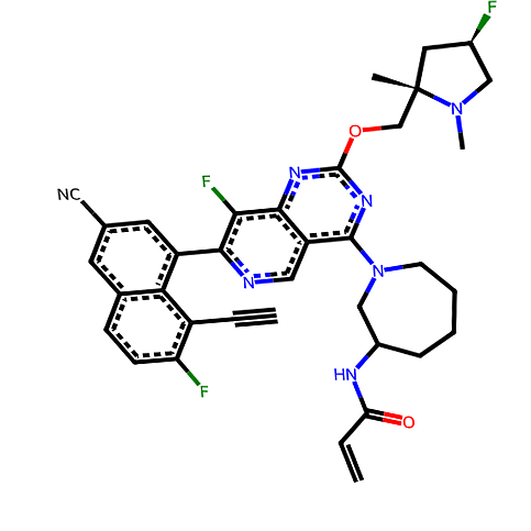 C#Cc1c(F)ccc2cc(C#N)cc(-c3ncc4c(N5CCCCC(NC(=O)C=C)C5)nc(OC[C@]5(C)C[C@@H](F)CN5C)nc4c3F)c12